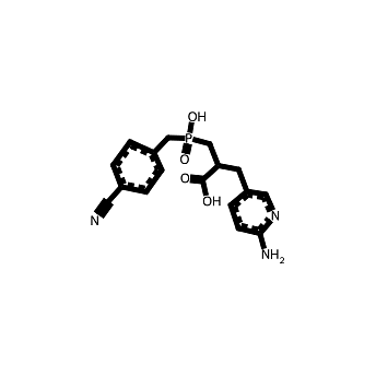 N#Cc1ccc(CP(=O)(O)CC(Cc2ccc(N)nc2)C(=O)O)cc1